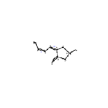 C=C1CN(C)C/C1=C/C=C\C